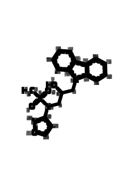 CS(=O)(=O)N(CC(O)Cn1c2ccccc2c2ccccc21)c1ccon1